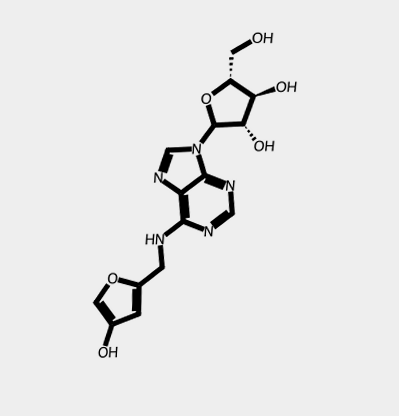 OC[C@H]1OC(n2cnc3c(NCc4cc(O)co4)ncnc32)[C@@H](O)[C@@H]1O